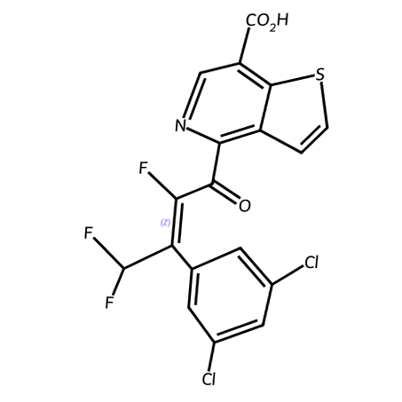 O=C(/C(F)=C(\c1cc(Cl)cc(Cl)c1)C(F)F)c1ncc(C(=O)O)c2sccc12